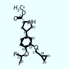 COC(=O)[C@H]1CC(c2ccc(OC(F)F)c(OCC3CC3)c2)CN1